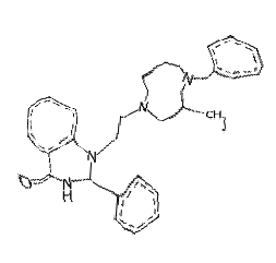 CC1CN(CCN2c3ccccc3C(=O)NC2c2ccccc2)CCN1c1ccccc1